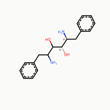 NC(Cc1ccccc1)C(O)[C@@H](O)[C@@H](N)Cc1ccccc1